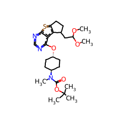 COC(CC1CCc2sc3ncnc(O[C@H]4CC[C@H](N(C)C(=O)OC(C)(C)C)CC4)c3c21)OC